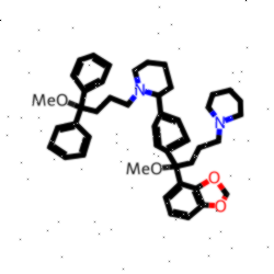 COC(CCCN1CCCCC1c1ccc(C(CCCN2CCCCC2)(OC)c2cccc3c2OCO3)cc1)(c1ccccc1)c1ccccc1